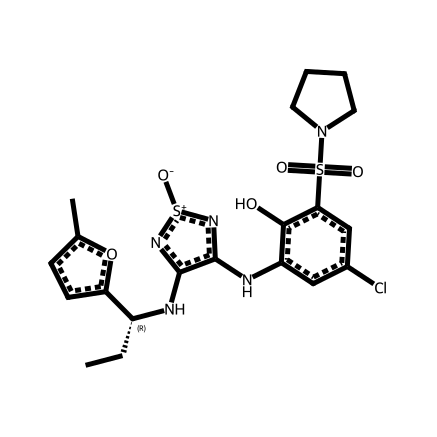 CC[C@@H](Nc1n[s+]([O-])nc1Nc1cc(Cl)cc(S(=O)(=O)N2CCCC2)c1O)c1ccc(C)o1